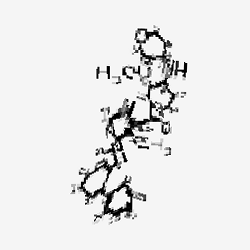 CO[C@H]1COCC[C@H]1NC1CCN(C(=O)c2ncnc(NC[C@H]3CCC[C@@H](c4ccccc4)C3)c2C)CC1